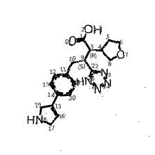 O=C(O)[C@@H](C1CCOC1)[C@H](Cc1ccc(C2=CCNC2)cc1)c1nnn[nH]1